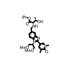 COCC(COC)n1c(-c2cc(C)c(=O)n(C)c2)nc2cc(CN[C@H](C(=O)OC(C)C)[C@@H](C)O)ccc21